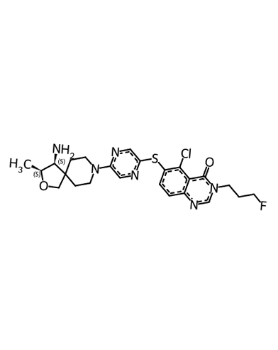 C[C@@H]1OCC2(CCN(c3cnc(Sc4ccc5ncn(CCCF)c(=O)c5c4Cl)cn3)CC2)[C@@H]1N